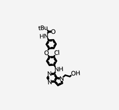 CC(C)(C)C(=O)Nc1cccc(Oc2ccc(Nc3ncnc4ccn(CCO)c34)cc2Cl)c1